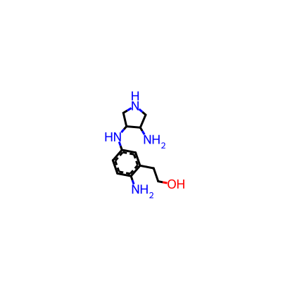 Nc1ccc(NC2CNCC2N)cc1CCO